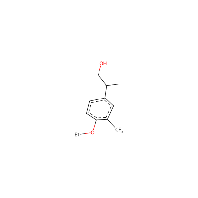 CCOc1ccc([C](C)CO)cc1C(F)(F)F